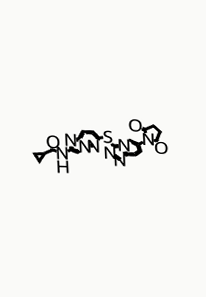 O=C(Nc1cn2nc(Sc3nnc4ccc(N5C(=O)CCC5=O)cn34)ccc2n1)C1CC1